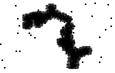 C1=CC2c3cc(-c4cccc(-c5ccc(-c6ccc(N(c7ccccc7)c7ccc(-c8ccc(-c9ccccc9-n9c%10ccccc%10c%10ccc(-c%11cccc%12c%11sc%11ccccc%11%12)cc%109)cc8)cc7)cc6)cc5)c4)ccc3SC2C(c2ccc3c4ccccc4n(-c4ccccc4-c4ccc(-c5ccc(N(c6ccc(-c7ccccc7)cc6)c6ccc(-c7ccccc7)cc6)cc5)cc4)c3c2)=C1